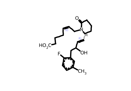 Cc1ccc(F)c(CC(O)/C=C/[C@H]2CCCC(=O)N2C/C=C\CCCC(=O)O)c1